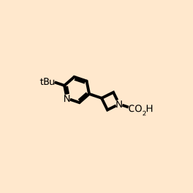 CC(C)(C)c1ccc(C2CN(C(=O)O)C2)cn1